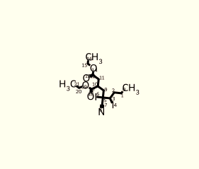 CCCC(I)C(I)(C#N)CC(CC(=O)OCC)C(=O)OCC